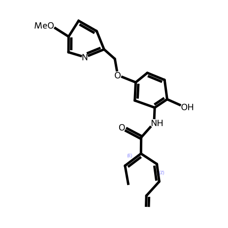 C=C/C=C\C(=C/C)C(=O)Nc1cc(OCc2ccc(OC)cn2)ccc1O